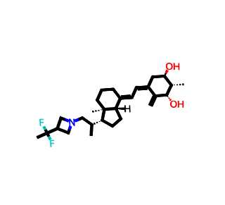 C=C1C(=CC=C2CCC[C@]3(C)[C@@H](C(C)CN4CC(C(C)(F)F)C4)CC[C@@H]23)C[C@@H](O)[C@H](C)[C@@H]1O